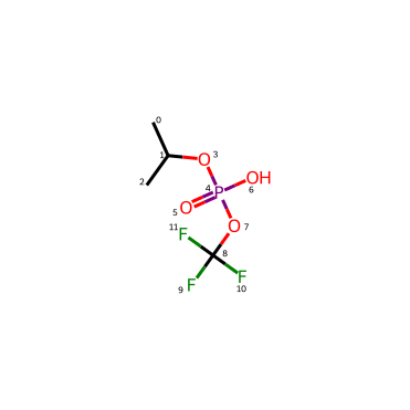 CC(C)OP(=O)(O)OC(F)(F)F